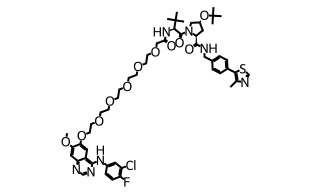 COc1cc2ncnc(Nc3ccc(F)c(Cl)c3)c2cc1OCCOCCOCCOCCOCCOCC(=O)N[C@H](C(=O)N1C[C@H](OC(C)(C)C)C[C@H]1C(=O)NCc1ccc(-c2scnc2C)cc1)C(C)(C)C